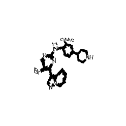 COc1cc(C2CCNCC2)ccc1Nc1ncc(Br)c(-c2cnn3ccccc23)n1